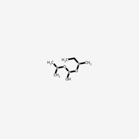 CCB(C)OB(O)OB(C)C